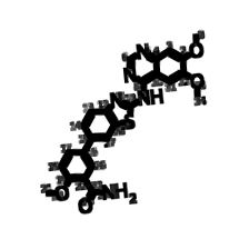 COc1cc2ncnc(Nc3nc4ccc(-c5ccc(OC)c(C(N)=O)c5)cc4s3)c2cc1OC